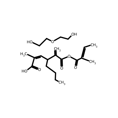 C=C(C(=O)OC(=O)C(C)=CC)C(C=C(C)C(=O)O)CCCC.OCCOCCO